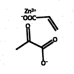 C=CC(=O)[O-].CC(=O)C(=O)[O-].[Zn+2]